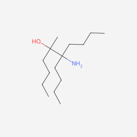 CCCCC(C)(O)C(N)(CCCC)CCCC